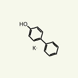 Oc1ccc(-c2ccccc2)cc1.[K]